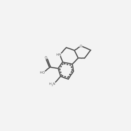 Nc1ccc2c(c1C(=O)O)NCC1OCCC21